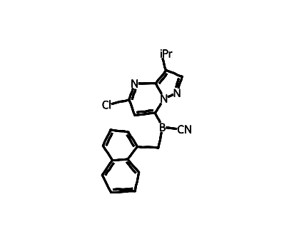 CC(C)c1cnn2c(B(C#N)Cc3cccc4ccccc34)cc(Cl)nc12